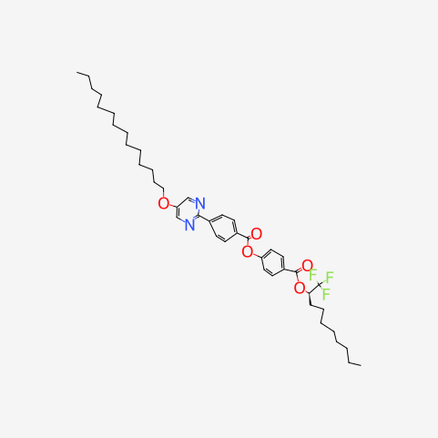 CCCCCCCCCCCCCCOc1cnc(-c2ccc(C(=O)Oc3ccc(C(=O)O[C@H](CCCCCCCC)C(F)(F)F)cc3)cc2)nc1